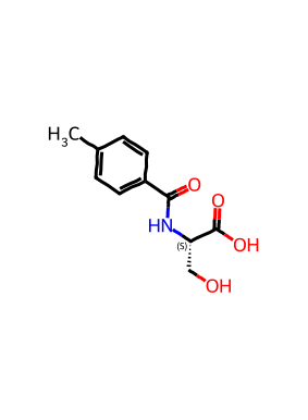 Cc1ccc(C(=O)N[C@@H](CO)C(=O)O)cc1